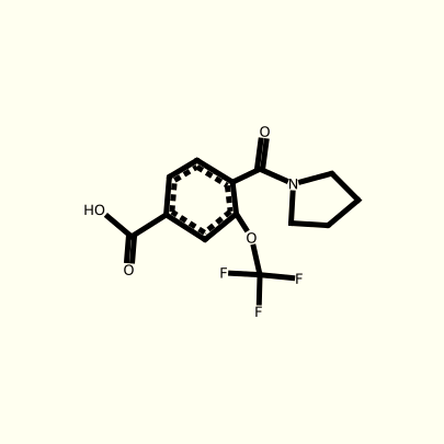 O=C(O)c1ccc(C(=O)N2CCCC2)c(OC(F)(F)F)c1